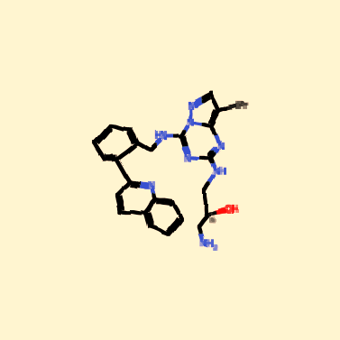 CC(C)c1cnn2c(NCc3ccccc3-c3ccc4ccccc4n3)nc(NC[C@@H](O)CN)nc12